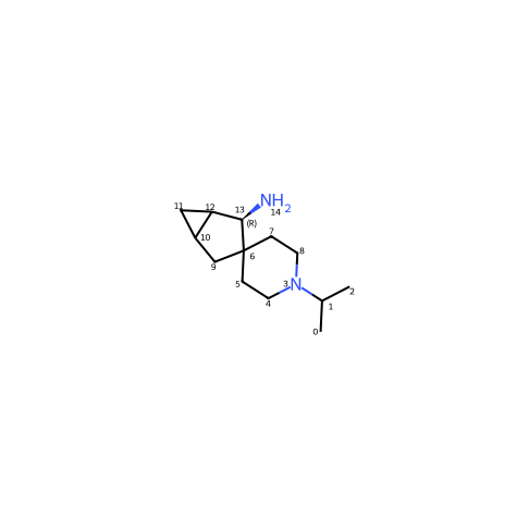 CC(C)N1CCC2(CC1)CC1CC1[C@H]2N